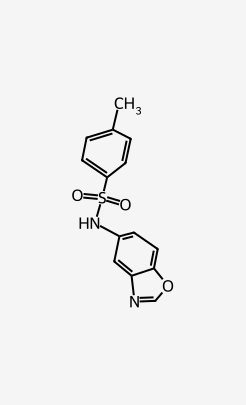 Cc1ccc(S(=O)(=O)Nc2ccc3ocnc3c2)cc1